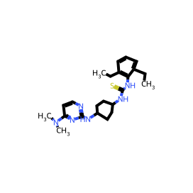 CCc1cccc(CC)c1NC(=S)NC1CCC(Nc2nccc(N(C)C)n2)CC1